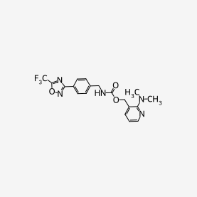 CN(C)c1ncccc1COC(=O)NCc1ccc(-c2noc(C(F)(F)F)n2)cc1